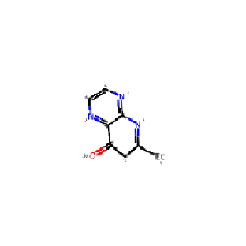 CCC1=Nc2nccnc2C(=O)C1